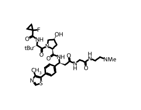 CNCCNC(=O)CNC(=O)C[C@H](NC(=O)[C@@H]1C[C@@H](O)CN1C(=O)[C@@H](NC(=O)C1(F)CC1)C(C)(C)C)c1ccc(-c2scnc2C)cc1